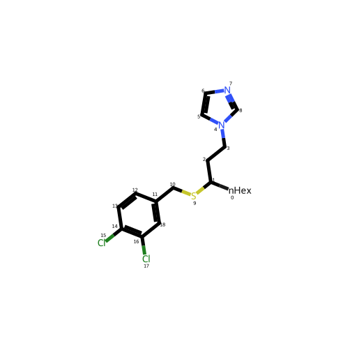 CCCCCCC(CCn1ccnc1)SCc1ccc(Cl)c(Cl)c1